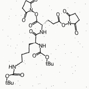 CC(C)(C)OC(=O)NCCCC[C@H](NC(=O)OC(C)(C)C)C(=O)N[C@@H](CCC(=O)ON1C(=O)CCC1=O)C(=O)ON1C(=O)CCC1=O